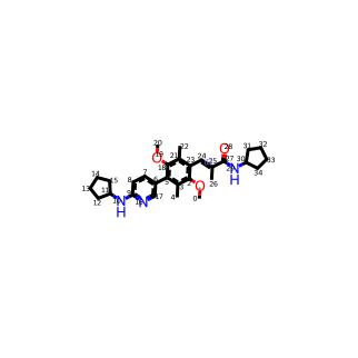 COc1c(C)c(-c2ccc(NC3CCCC3)nc2)c(OC)c(C)c1/C=C(\C)C(=O)NC1CCCC1